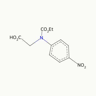 CCOC(=O)N(CC(=O)O)c1ccc([N+](=O)[O-])cc1